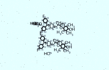 Cc1c(C)c2c(c(C)c1O)CCC(C(C)CN1CCN(C(c3ccc(F)cc3)c3ccc(F)cc3)CC1)O2.Cc1c(C)c2c(c(C)c1O)CCC(C(C)CN1CCN(C(c3ccc(F)cc3)c3ccc(F)cc3)CC1)O2.Cl.Cl.Cl.Cl.O